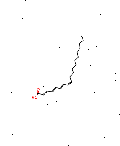 CCCCCCCCCCC\C=C/C=C/C=C/C=CC(=O)O